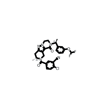 C[C@@H]1Cc2nn3c(c2CN1C(=O)c1ccc(Cl)c(C#N)c1)C(=O)N([C@@H](C)c1cccc(OC(F)F)c1)CC3